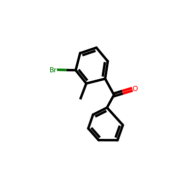 Cc1c(Br)cccc1C(=O)c1ccccc1